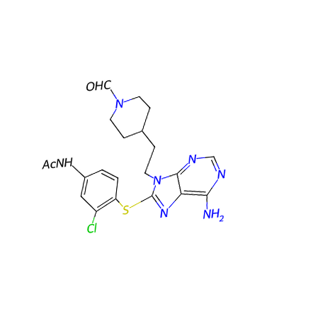 CC(=O)Nc1ccc(Sc2nc3c(N)ncnc3n2CCC2CCN(C=O)CC2)c(Cl)c1